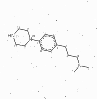 CN(C)CCCc1ccc(N2CCNCC2)cc1